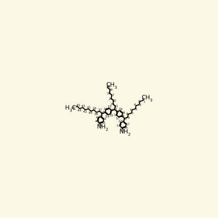 CCCCCCCCCCC(c1ccc(N)cc1)c1ccc(C(CCCCCCCCC)c2ccc(C(CCCCCCCCCC)c3ccc(N)cc3)cc2)cc1